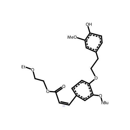 CCCCOc1cc(/C=C\C(=O)OCCOCC)ccc1OCCc1ccc(O)c(OC)c1